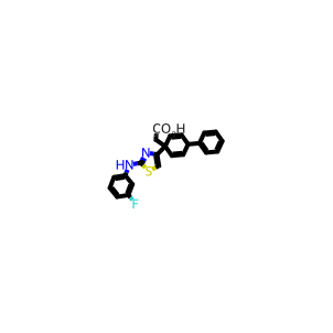 O=C(O)CC1(c2csc(Nc3cccc(F)c3)n2)C=CC(c2ccccc2)C=C1